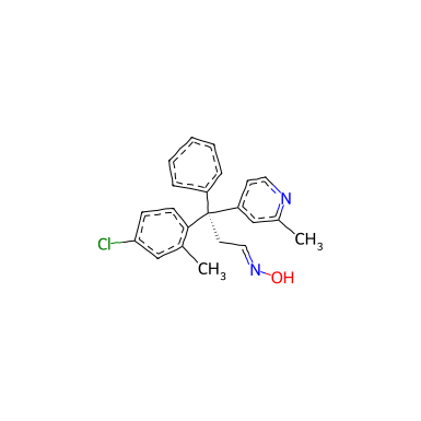 Cc1cc([C@](CC=NO)(c2ccccc2)c2ccc(Cl)cc2C)ccn1